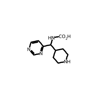 O=C(O)NC(c1ccncn1)C1CCNCC1